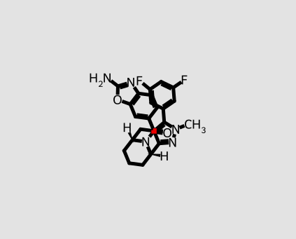 Cn1nc2c(c1-c1cc(F)cc(F)c1)C[C@H]1CCC[C@@H]2N1C(=O)c1ccc2nc(N)oc2c1